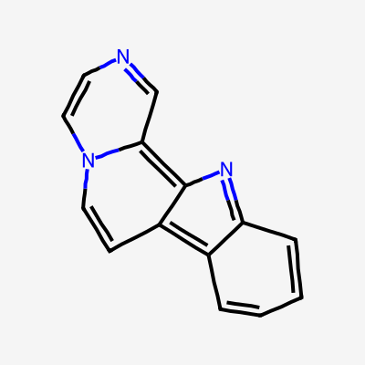 c1ccc2c3ccn4ccncc4c-3nc2c1